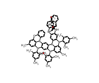 Cc1cc(C)c(N2c3cc4c(cc3B3c5ccccc5Oc5cc(C)cc2c53)B2c3cc5c(cc3N(c3c(C)cc(C)cc3C)c3cc(C)cc(c32)N4c2c(C)cc(C)cc2C)Nc2cc(C)cc3c2B5c2cccc4c5ccccc5n-3c24)c(C)c1